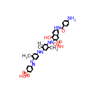 Cc1cc(N=Nc2cc(C)c(N=Nc3c(S(=O)(=O)O)cc4cc(NC(=O)c5ccc(N)cc5)ccc4c3O)cc2C)ccc1N=Nc1ccc(S(=O)(=O)O)cc1